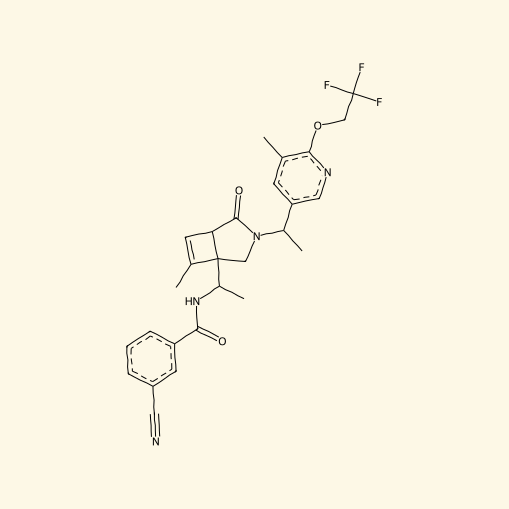 CC1=CC2C(=O)N(C(C)c3cnc(OCC(F)(F)F)c(C)c3)CC12C(C)NC(=O)c1cccc(C#N)c1